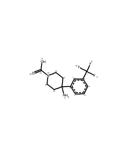 NC1(c2cccc(C(F)(F)F)c2)CCN(C(=O)O)CC1